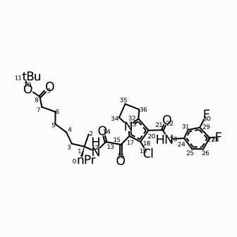 CCC[C@](C)(CCCCCC(=O)OC(C)(C)C)NC(=O)C(=O)c1c(Cl)c(C(=O)Nc2ccc(F)c(F)c2)c2n1CCC2